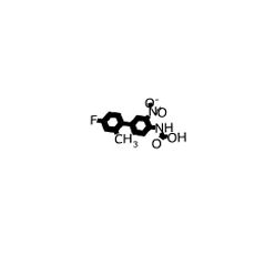 Cc1cc(F)ccc1-c1ccc(NC(=O)O)c([N+](=O)[O-])c1